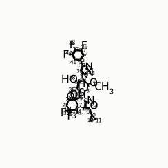 CO[C@H]1C[SH]([C@H](c2noc(C3CC3)c2C)C2(O)CCC(F)(F)CC2)[C@H](CO)[C@H](O)[C@@H]1n1cc(-c2cc(F)c(F)c(F)c2)nn1